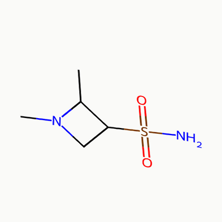 CC1C(S(N)(=O)=O)CN1C